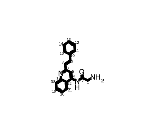 NCC(=O)Nc1cc(C=Cc2ccccc2)nc2ccccc12